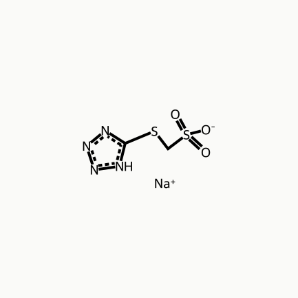 O=S(=O)([O-])CSc1nnn[nH]1.[Na+]